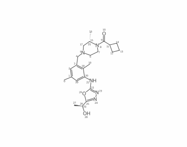 Cc1cc(CN2CCN(C(=O)C3CCC3)[C@@H](C)C2)c(C)c(Nc2nnc([C@H](C)O)o2)c1